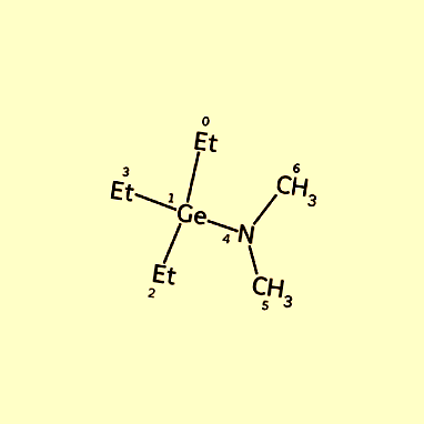 C[CH2][Ge]([CH2]C)([CH2]C)[N](C)C